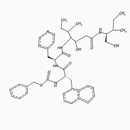 CCC(C)C(NC(=O)[C@H](Cc1ccncc1)NC(=O)[C@H](Cc1cccc2ccccc12)NC(=O)OCc1ccccc1)C(O)CC(=O)N[C@H](CO)C(C)CC